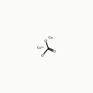 O=C([O-])[O-].[Cu+2].[Cu]